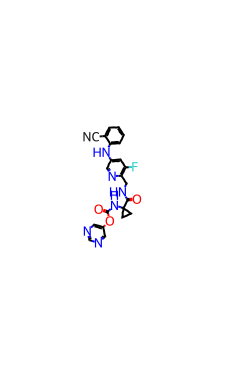 N#Cc1ccccc1Nc1cnc(CNC(=O)C2(NC(=O)Oc3cncnc3)CC2)c(F)c1